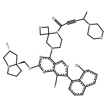 CC(C#CC(=O)N1CCN(c2nc(OC[C@@]34CCCN3C[C@H](F)C4)nc3c(F)c(-c4cccc5cccc(Cl)c45)ncc23)CC12COC2)N1CCOCC1